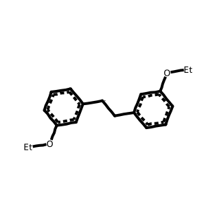 CCOc1cccc([CH]Cc2cccc(OCC)c2)c1